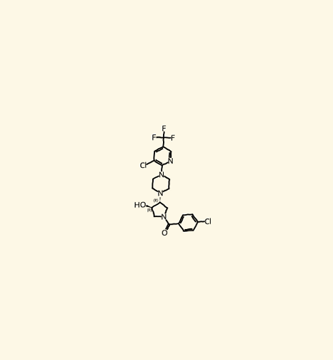 O=C(c1ccc(Cl)cc1)N1C[C@@H](O)[C@H](N2CCN(c3ncc(C(F)(F)F)cc3Cl)CC2)C1